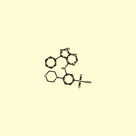 CNS(=O)(=O)c1ccc(N2CCOCC2)c(Nc2ncnc3[nH]nc(-c4ccccc4)c23)c1